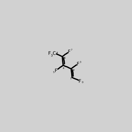 FC=C(F)C(F)=C(F)C(F)(F)F